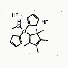 CC1=C(C)C(C)(C)[C]([Zr]([C]2=CC=CC2)([C]2=CC=CC2)[SiH](C)C)=C1C.F.F